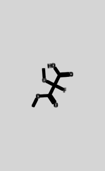 COC(=O)C(F)(OC)C(=O)O